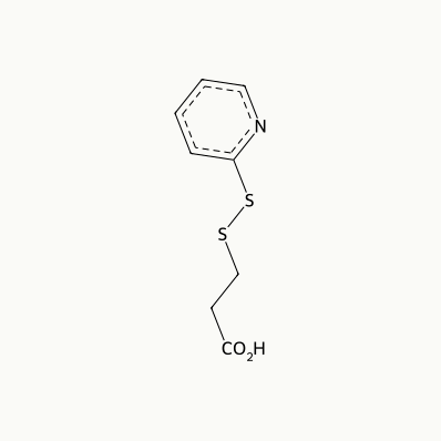 O=C(O)CCSSc1ccccn1